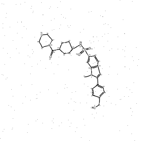 Cn1c(-c2ccc(CO)cc2)cc2ccc(S(=O)(=O)NC3CCC(C(=O)N4CCOCC4)CC3)cc21